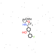 COC(=O)[C@H](CC(C)C)NC(c1ccc(-c2cccc(F)c2)c(O)c1)C(F)(F)F